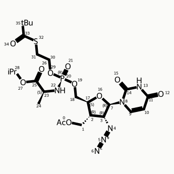 CC(=O)OC[C@H]1[C@@H](N=[N+]=[N-])[C@H](n2ccc(=O)[nH]c2=O)O[C@@H]1CO[P@](=O)(N[C@@H](C)C(=O)OC(C)C)OCCSC(=O)C(C)(C)C